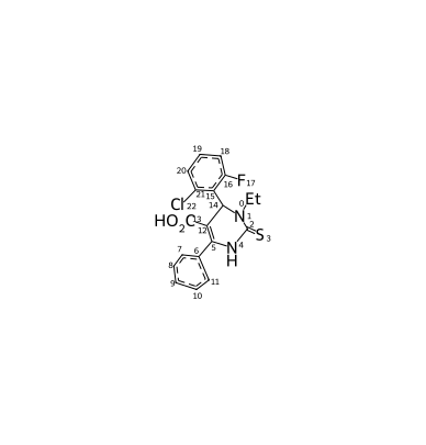 CCN1C(=S)NC(c2ccccc2)=C(C(=O)O)C1c1c(F)cccc1Cl